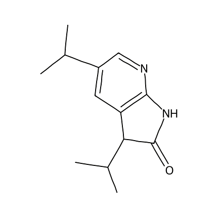 CC(C)c1cnc2c(c1)C(C(C)C)C(=O)N2